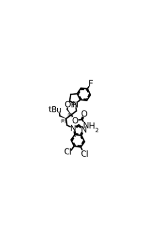 CC(C)(C)C[C@H](Cn1cnc2cc(Cl)c(Cl)cc21)[C@](CO)(CN1CCc2cc(F)ccc21)OC(N)=O